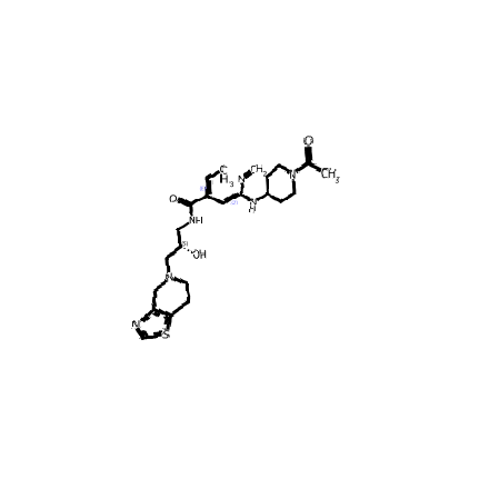 C=N/C(=C\C(=C/C)C(=O)NC[C@H](O)CN1CCc2scnc2C1)NC1CCN(C(C)=O)CC1